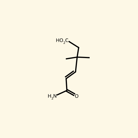 CC(C)(C=CC(N)=O)CC(=O)O